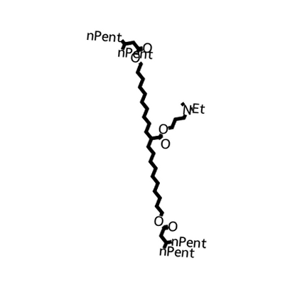 CCCCCC(CCCCC)CC(=O)OCCCCCCCCCCC(CCCCCCCCCCOC(=O)CC(CCCCC)CCCCC)C(=O)OCCCN(C)CC